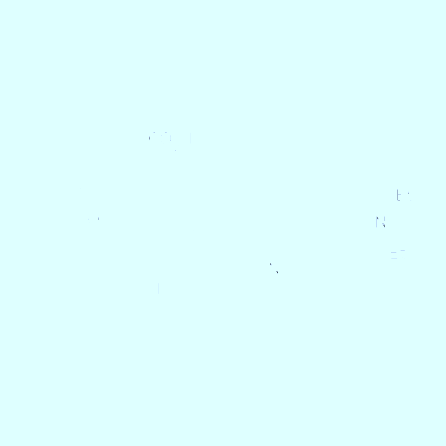 CCN(CC)CCCN(C)CCc1ccc2c(c1)C(C(=O)O)c1ccccc1O2.CI.CI